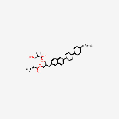 C=CC(=O)OCC(COC(=O)C(=C)CO)Cc1ccc2cc(C3CCC(C4CCC(CCCCC)CC4)CC3)ccc2c1